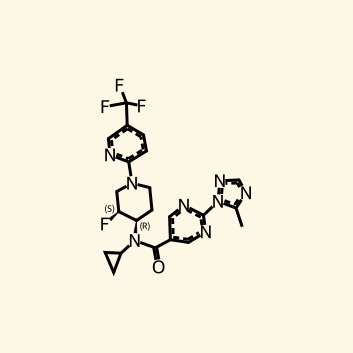 Cc1ncnn1-c1ncc(C(=O)N(C2CC2)[C@@H]2CCN(c3ccc(C(F)(F)F)cn3)C[C@@H]2F)cn1